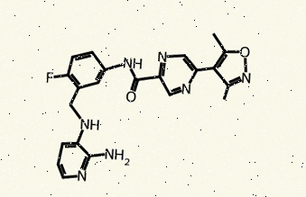 Cc1noc(C)c1-c1cnc(C(=O)Nc2ccc(F)c(CNc3cccnc3N)c2)cn1